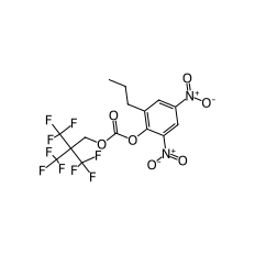 CCCc1cc([N+](=O)[O-])cc([N+](=O)[O-])c1OC(=O)OCC(C(F)(F)F)(C(F)(F)F)C(F)(F)F